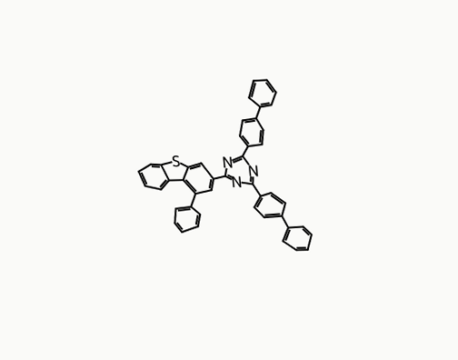 c1ccc(-c2ccc(-c3nc(-c4ccc(-c5ccccc5)cc4)nc(-c4cc(-c5ccccc5)c5c(c4)sc4ccccc45)n3)cc2)cc1